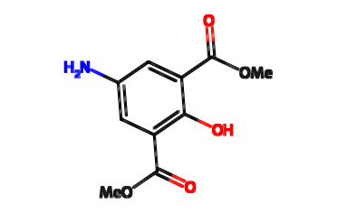 COC(=O)c1cc(N)cc(C(=O)OC)c1O